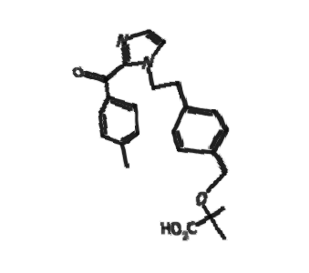 Cc1ccc(C(=O)c2nccn2CCc2ccc(COC(C)(C)C(=O)O)cc2)cc1